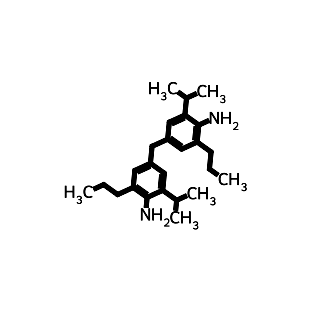 CCCc1cc(Cc2cc(CCC)c(N)c(C(C)C)c2)cc(C(C)C)c1N